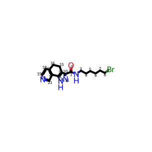 O=C(NCCCCCCBr)c1n[nH]c2c1CCc1ccncc1-2